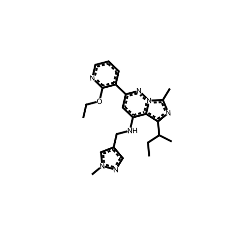 CCOc1ncccc1-c1cc(NCc2cnn(C)c2)c2c(C(C)CC)nc(C)n2n1